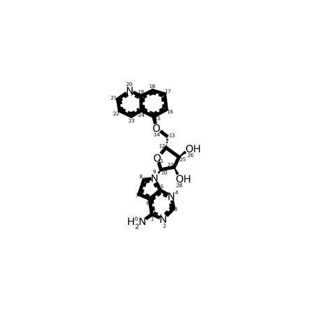 Nc1ncnc2c1ccn2[C@@H]1O[C@H](COc2cccc3ncccc23)[C@@H](O)[C@H]1O